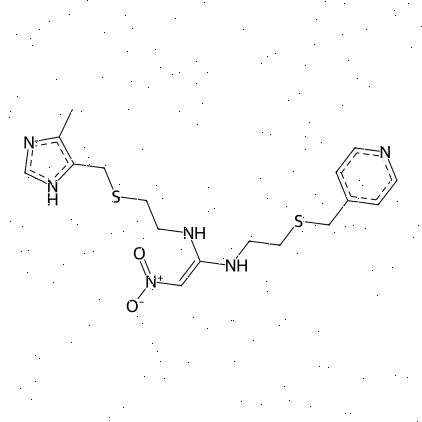 Cc1nc[nH]c1CSCCNC(=C[N+](=O)[O-])NCCSCc1ccncc1